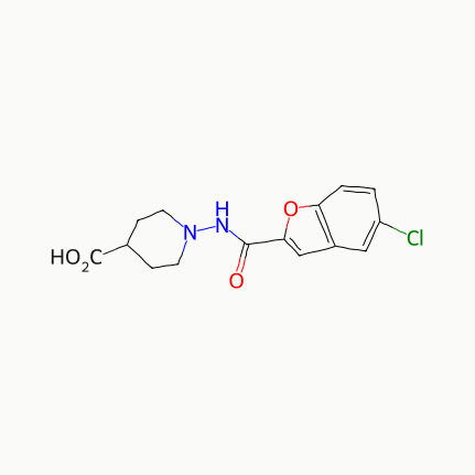 O=C(NN1CCC(C(=O)O)CC1)c1cc2cc(Cl)ccc2o1